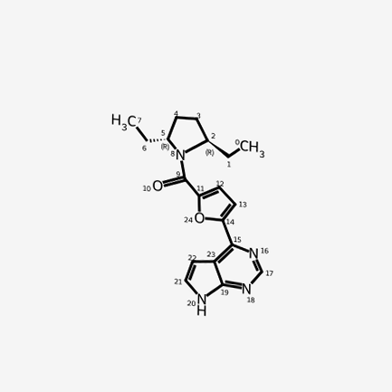 CC[C@@H]1CC[C@@H](CC)N1C(=O)c1ccc(-c2ncnc3[nH]ccc23)o1